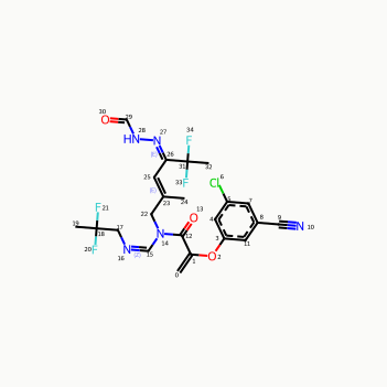 C=C(Oc1cc(Cl)cc(C#N)c1)C(=O)N(/C=N\CC(C)(F)F)C/C(C)=C/C(=N\NC=O)C(C)(F)F